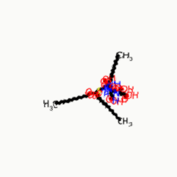 CCCCCCCCCCCCCCCC(=O)OC[C@H](CSCCC(=O)N[C@@](CCC(=O)O)(NC(=O)CCCCCCCCCCCCC)C(=O)NC(CCC(=O)O)C(=O)NC(CCC(=O)O)C(=O)O)OC(=O)CCCCCCCCCCCCCCC